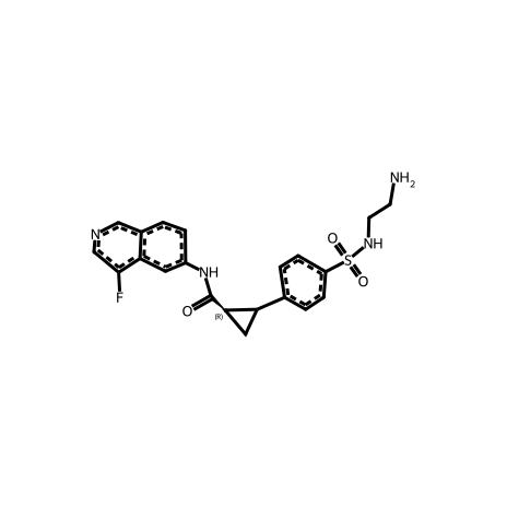 NCCNS(=O)(=O)c1ccc(C2C[C@H]2C(=O)Nc2ccc3cncc(F)c3c2)cc1